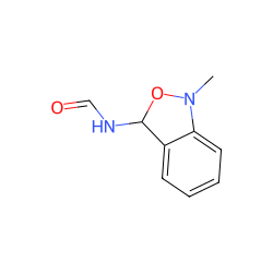 CN1OC(NC=O)c2ccccc21